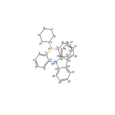 c1ccc(P(C2CCCCC2)C2CCCCC2)c(-n2c3ccccc3c3ccccc32)c1